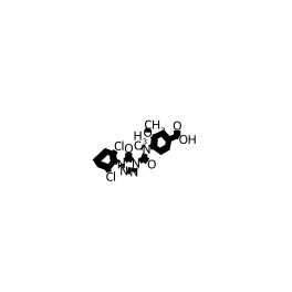 COc1cc(C(=O)O)ccc1N(C)C(=O)n1nnn(-c2c(Cl)cccc2Cl)c1=O